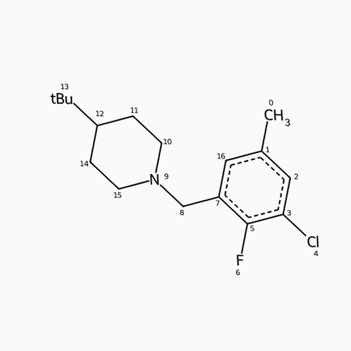 Cc1cc(Cl)c(F)c(CN2CCC(C(C)(C)C)CC2)c1